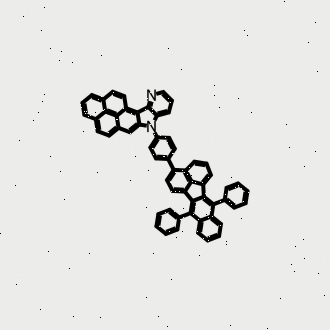 c1ccc(-c2c3c(c(-c4ccccc4)c4ccccc24)-c2ccc(-c4ccc(-n5c6cccnc6c6c7ccc8cccc9ccc(cc65)c7c98)cc4)c4cccc-3c24)cc1